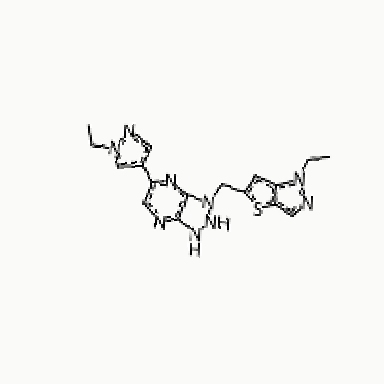 CCn1cc(-c2cnc3c(n2)N(Cc2cc4c(cnn4CC)s2)NN3)cn1